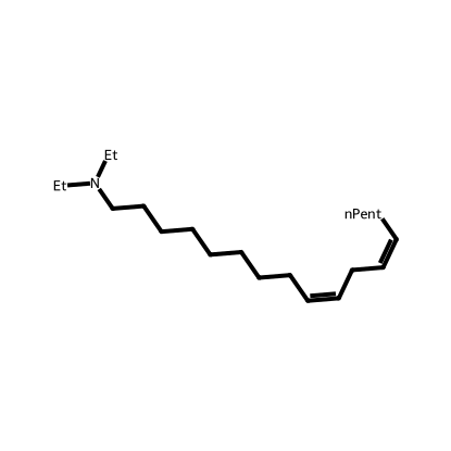 CCCCC/C=C\C/C=C\CCCCCCCCN(CC)CC